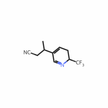 CC(CC#N)C1=CCC(C(F)(F)F)N=C1